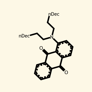 CCCCCCCCCCCCN(CCCCCCCCCCCC)c1cccc2c1C(=O)c1ccccc1C2=O